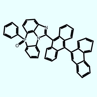 O=P1(c2ccccc2)c2ccccc2-n2c(-c3c4ccccc4c(-c4cc5ccccc5c5ccccc45)c4ccccc34)nc3cccc1c32